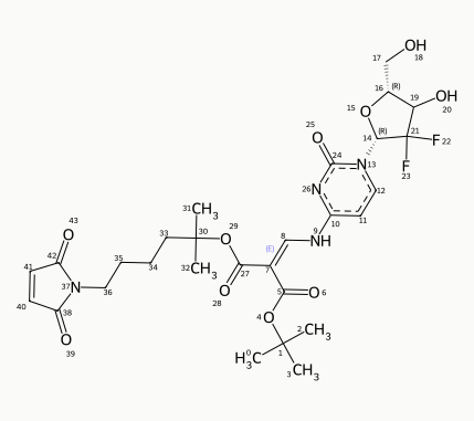 CC(C)(C)OC(=O)/C(=C\Nc1ccn([C@@H]2O[C@H](CO)C(O)C2(F)F)c(=O)n1)C(=O)OC(C)(C)CCCCN1C(=O)C=CC1=O